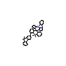 CC1(C)c2ccccc2-c2ccc(-c3cccc4c3[Si](C)(C)c3ccccc3C43c4ccccc4-n4c5ccccc5c5cccc3c54)cc21